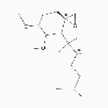 COC1CC[C@]2(CO2)C(C(C)(C)[C@H](C)CCC(C)C)C1OC